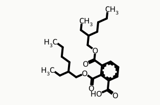 CCCCC(CC)COC(=O)c1cccc(C(=O)O)c1C(=O)OCC(CC)CCCC